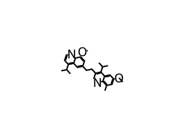 COc1cc(C)c2ncc(CCc3cc(OC)c4nccc(C(C)C)c4c3)c(C(C)C)c2c1